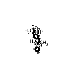 CC(C)(C)c1cc2ccc(CC(C)(C)c3nc4ccccc4o3)cc2[nH]1